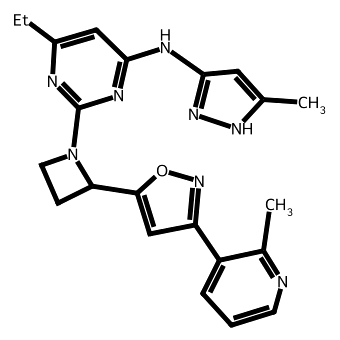 CCc1cc(Nc2cc(C)[nH]n2)nc(N2CCC2c2cc(-c3cccnc3C)no2)n1